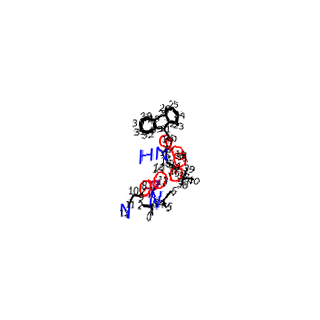 CC(C)N(C(C)C)P(OCCC#N)OC[C@H](NC(=O)OCC1c2ccccc2-c2ccccc21)C(=O)OC(C)(C)C